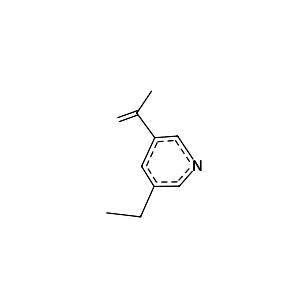 C=C(C)c1cncc(CC)c1